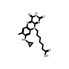 Cc1cc2nc3c(=O)[nH]c(=O)nc-3n(CCCCCCC(=O)O)c2cc1NC1CC1